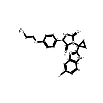 O=C1N[C@H](c2ccc(OCCO)cc2)C(=O)N1C1(c2nc3cc(I)ccc3[nH]2)CC1